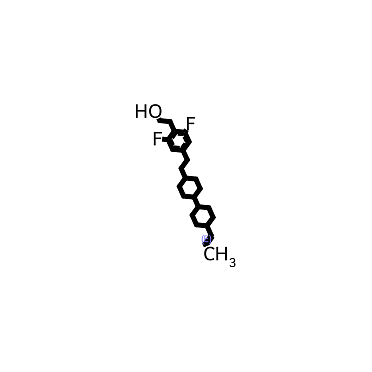 C/C=C/C1CCC(C2CCC(CCc3cc(F)c(CCO)c(F)c3)CC2)CC1